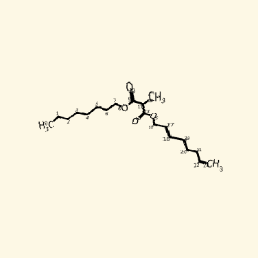 CCCCCCCCOC(=O)C(C)C(=O)OCCCCCCCC